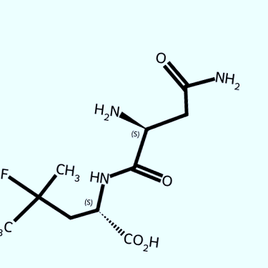 CC(C)(F)C[C@H](NC(=O)[C@@H](N)CC(N)=O)C(=O)O